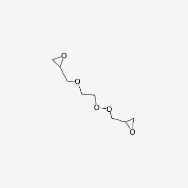 C(COOCC1CO1)OCC1CO1